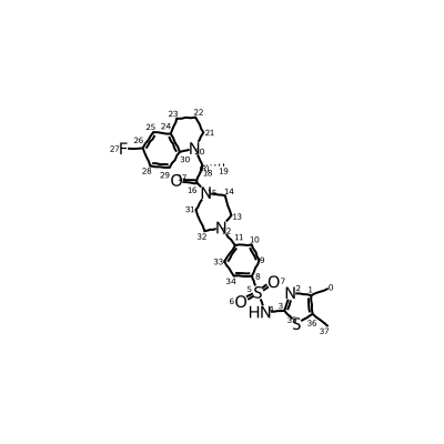 Cc1nc(NS(=O)(=O)c2ccc(N3CCN(C(=O)[C@@H](C)N4CCCc5cc(F)ccc54)CC3)cc2)sc1C